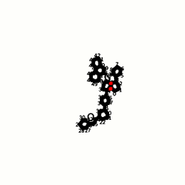 c1ccc(-c2ccccc2N(c2ccc(-c3ccc(-c4cccc(-c5cc6ccccc6o5)c4)cc3)cc2)c2cc3ccccc3c3ccccc23)cc1